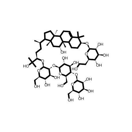 C[C@H](CC[C@@H](O[C@@H]1O[C@H](CO)[C@@H](O)[C@H](O)[C@H]1O[C@@H]1O[C@H](CO)[C@@H](O[C@@H]2O[C@H](CO)[C@@H](O)[C@H](O)[C@H]2O)[C@H](O)[C@H]1O)C(C)(C)O)C1CC[C@@]2(C)C3CC=C4C(CC[C@H](O[C@@H]5O[C@H](CCO)[C@@H](O)[C@H](O)[C@H]5O)C4(C)C)[C@]3(C)[C@H](O)C[C@]12C